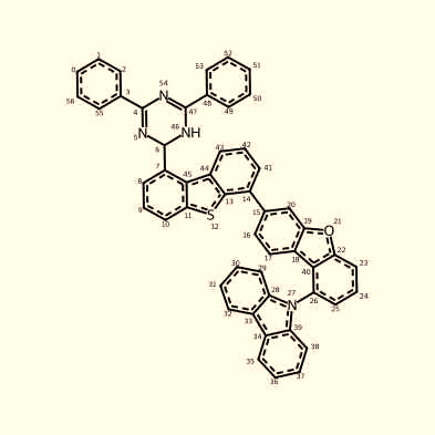 c1ccc(C2=NC(c3cccc4sc5c(-c6ccc7c(c6)oc6cccc(-n8c9ccccc9c9ccccc98)c67)cccc5c34)NC(c3ccccc3)=N2)cc1